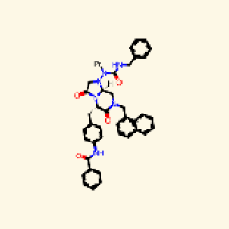 CC(C)N(C(=O)NCc1ccccc1)N1CC(=O)N2[C@@H](Cc3ccc(NC(=O)c4ccccc4)cc3)C(=O)N(Cc3cccc4ccccc34)C[C@@H]21